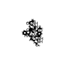 COCC[C@H]([C@@H]1C[C@H]1C(=O)NC1CC(C)(CCCOc2cccc3c2C(NC(=O)[C@@H]2C[C@H]2CN2C(=N)NC(C)(C)CC2=O)CC(C)(C)O3)Oc2ccccc21)N1C(=N)NC(C)(C)CC1=O